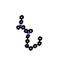 c1ccc(-c2ccc(-n3c4ccccc4c4cc(-c5ccc6c(c5)c5ccccc5n6-c5ccc(-c6ccc(-c7cccc(-c8cccc(-c9ccc(-c%10cccc(-c%11ccccc%11)c%10)cc9)c8)c7)cc6)cc5)ccc43)cc2)cc1